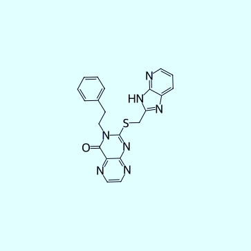 O=c1c2nccnc2nc(SCc2nc3cccnc3[nH]2)n1CCc1ccccc1